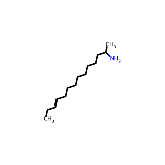 CCC=CCCCCCCCCC(C)N